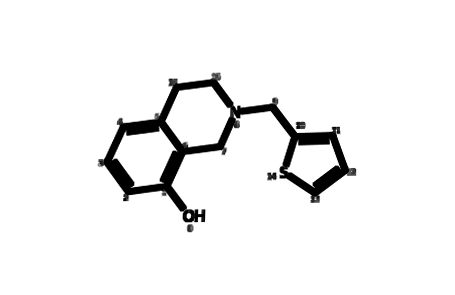 Oc1cccc2c1CN(Cc1cccs1)CC2